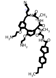 CCCCc1ccc(-c2ccc(C(=O)NCC(=O)N(C)C3C(=O)N[C@@H](C)C(=O)NC(/C=C/C#N)Cc4ccc(OCCN)c(c4)-c4cc3ccc4OCCN)cc2)cc1